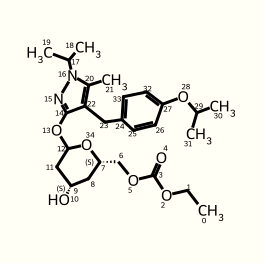 CCOC(=O)OC[C@@H]1C[C@H](O)CC(Oc2nn(C(C)C)c(C)c2Cc2ccc(OC(C)C)cc2)O1